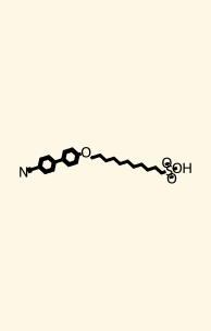 N#Cc1ccc(-c2ccc(OCCCCCCCCCCCS(=O)(=O)O)cc2)cc1